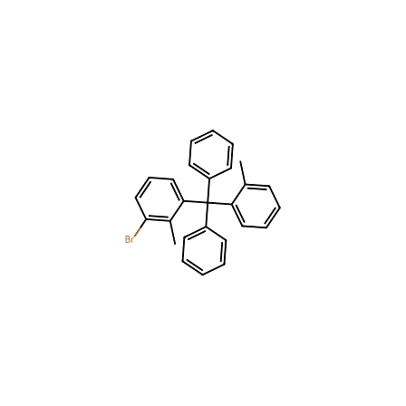 Cc1ccccc1C(c1ccccc1)(c1ccccc1)c1cccc(Br)c1C